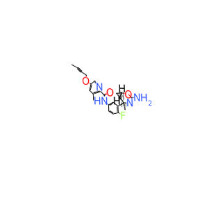 CC#CCOc1cnc(C(=O)Nc2ccc(F)c([C@@]3(C)N=C(N)O[C@@H]4C[C@@H]43)c2)c(C)c1